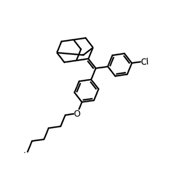 [CH2]CCCCCOc1ccc(C(=C2C3CC4CC(C3)CC2C4)c2ccc(Cl)cc2)cc1